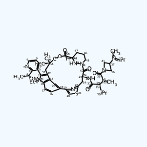 CCn1c(-c2cccnc2[C@H](C)OC)c2c3cc(ccc31)-c1csc(n1)C[C@H](NC(=O)[C@H](C(C)C)N(C)C(=O)N1CC(N(C)C(C)C)C1)C(=O)N1CCC[C@H](N1)C(=O)OCC(C)(C)C2